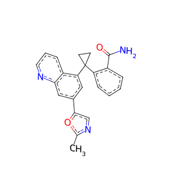 Cc1ncc(-c2cc(C3(c4ccccc4C(N)=O)CC3)c3cccnc3c2)o1